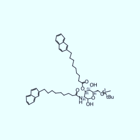 CC(C)(C)[Si](C)(C)OC[C@H]1OC(O)[C@H](NC(=O)CCCCCCCCc2ccc3ccccc3c2)[C@@H](OC(=O)CCCCCCCCc2ccc3ccccc3c2)[C@@H]1O